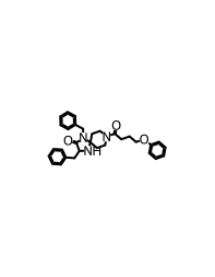 O=C(CCCOc1ccccc1)N1CCC2(CC1)NC(Cc1ccccc1)C(=O)N2Cc1ccccc1